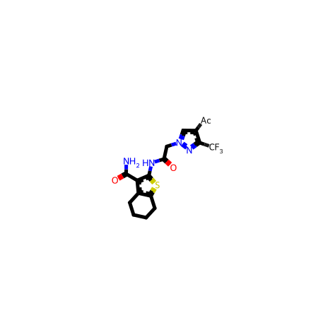 CC(=O)c1cn(CC(=O)Nc2sc3c(c2C(N)=O)CCCC3)nc1C(F)(F)F